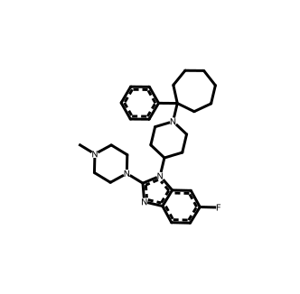 CN1CCN(c2nc3ccc(F)cc3n2C2CCN(C3(c4ccccc4)CCCCCC3)CC2)CC1